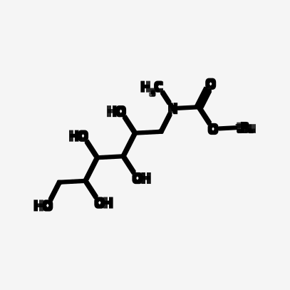 CN(CC(O)C(O)C(O)C(O)CO)C(=O)OC(C)(C)C